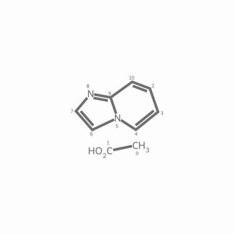 CC(=O)O.c1ccn2ccnc2c1